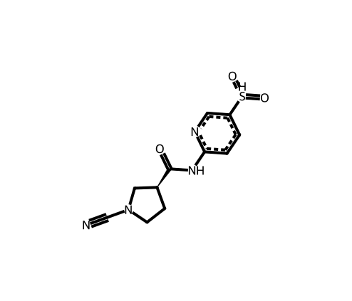 N#CN1CC[C@H](C(=O)Nc2ccc([SH](=O)=O)cn2)C1